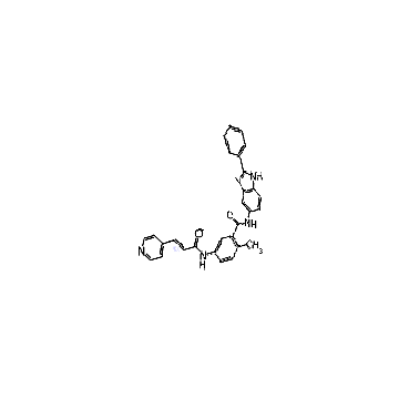 Cc1ccc(NC(=O)/C=C/c2ccncc2)cc1C(=O)Nc1ccc2[nH]c(-c3ccccc3)nc2c1